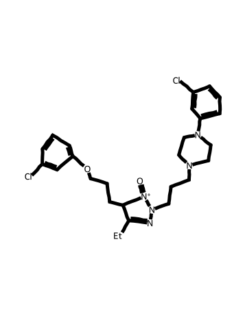 CCC1=NN(CCCN2CCN(c3cccc(Cl)c3)CC2)[N+](=O)C1CCCOc1cccc(Cl)c1